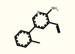 C=Cc1cc(-c2ccccc2C)cnc1N